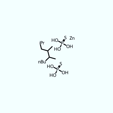 CCCCC(C)C(C)CC(C)C.OP(O)(O)=S.OP(O)(O)=S.[Zn]